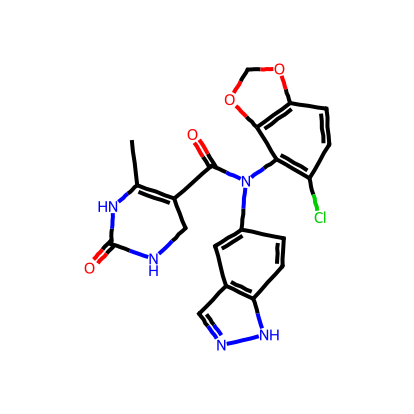 CC1=C(C(=O)N(c2ccc3[nH]ncc3c2)c2c(Cl)ccc3c2OCO3)CNC(=O)N1